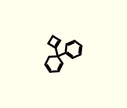 C1=CCC(C2=CCC2)(c2ccccc2)C=C1